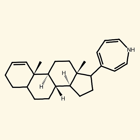 C[C@]12C=CCCC1CC[C@@H]1[C@@H]2CC[C@]2(C)C(C3=CC=CNC=C3)CC[C@@H]12